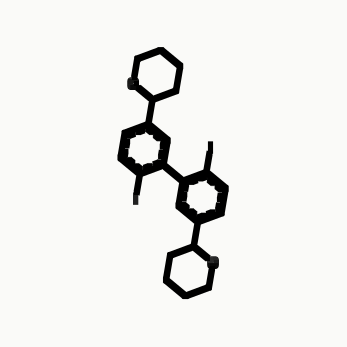 Ic1ccc(C2CCCCO2)cc1-c1cc(C2CCCCO2)ccc1I